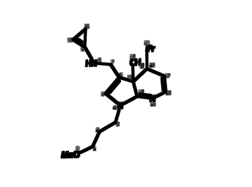 COCCCN1C=C(CNC2=CC2)C2(C)C1=NC=CC2C(C)C